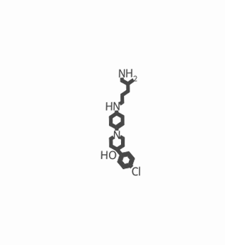 CC(CN)CCCNC1CC=C(N2CCC(O)(c3ccc(Cl)cc3)CC2)CC1